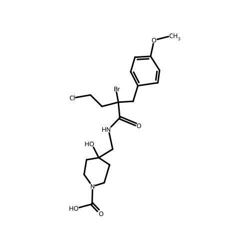 COc1ccc(CC(Br)(CCCl)C(=O)NCC2(O)CCN(C(=O)O)CC2)cc1